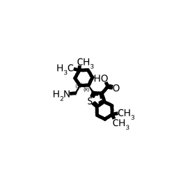 CC1(C)CCc2sc([C@@H]3CCC(C)(C)C[C@@H]3CN)c(C(=O)O)c2C1